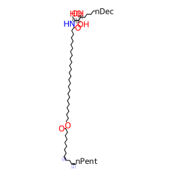 CCCCC/C=C\C/C=C\CCCCCCCC(=O)OCCCCCCCCCCCCCCCCCCCCCCCCCCCC(=O)N[C@@H](CO)[C@H](O)[C@H](O)CCCCCCCCCCCCCC